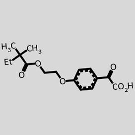 CCC(C)(C)C(=O)OCCOc1ccc(C(=O)C(=O)O)cc1